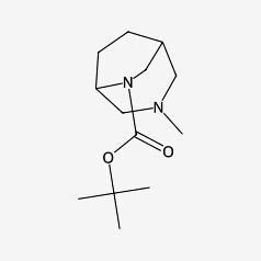 CN1CC2CCC(C1)N(C(=O)OC(C)(C)C)C2